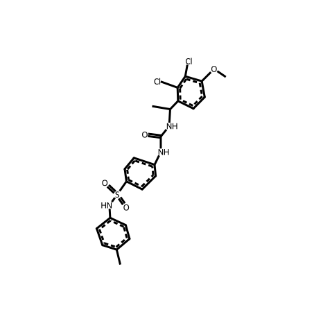 COc1ccc(C(C)NC(=O)Nc2ccc(S(=O)(=O)Nc3ccc(C)cc3)cc2)c(Cl)c1Cl